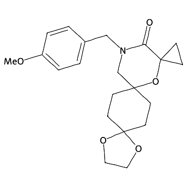 COc1ccc(CN2CC3(CCC4(CC3)OCCO4)OC3(CC3)C2=O)cc1